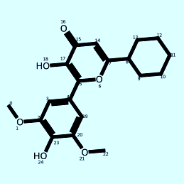 COc1cc(-c2oc(C3CCCCC3)cc(=O)c2O)cc(OC)c1O